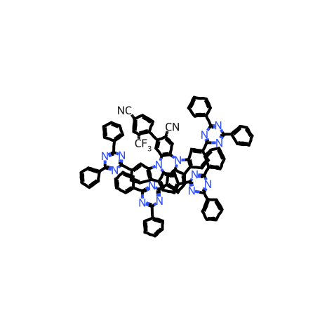 N#Cc1ccc(-c2cc(-n3c4cc(-c5nc(-c6ccccc6)nc(-c6ccccc6)n5)ccc4c4ccc(-c5nc(-c6ccccc6)nc(-c6ccccc6)n5)cc43)c(-n3c4cc(-c5nc(-c6ccccc6)nc(-c6ccccc6)n5)ccc4c4ccc(-c5nc(-c6ccccc6)nc(-c6ccccc6)n5)cc43)cc2C#N)c(C(F)(F)F)c1